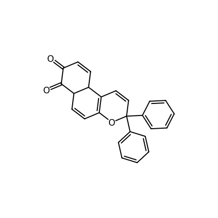 O=C1C=CC2C3=C(C=CC2C1=O)OC(c1ccccc1)(c1ccccc1)C=C3